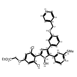 CCOC(=O)COc1cc(Cl)c(-c2nc(-c3cccc(OCc4ccncc4)c3)c(-c3ccnc(SC)n3)n2O)c(Cl)c1